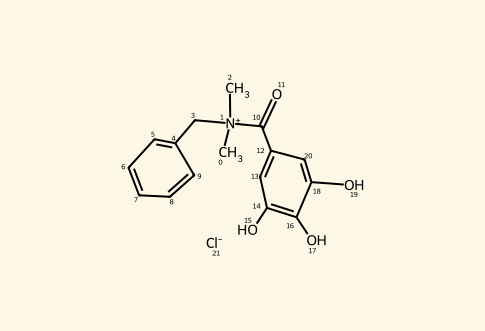 C[N+](C)(Cc1ccccc1)C(=O)c1cc(O)c(O)c(O)c1.[Cl-]